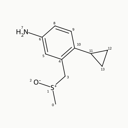 C[S+]([O-])Cc1cc(N)ccc1C1CC1